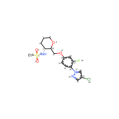 CCS(=O)(=O)N[C@@H]1CCCOC1COc1ccc(-n2cc(Cl)cn2)c(F)c1